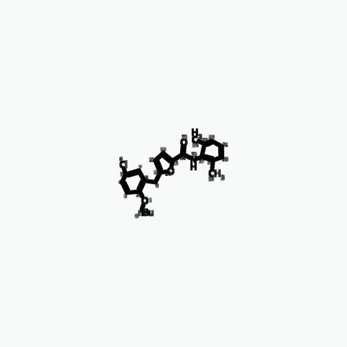 CCCCOc1ccc(Cl)cc1Cc1ccc(C(=O)Nc2c(C)cccc2C)o1